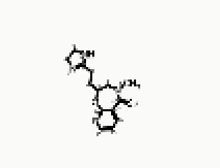 CN1CC(CCC2=NCCN2)Oc2ncccc2C1=S